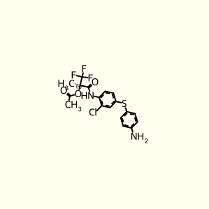 CC(=O)O[C@](C)(C(=O)Nc1ccc(Sc2ccc(N)cc2)cc1Cl)C(F)(F)F